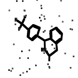 CC1Cc2ccccc2C(c2ccc(C(F)(F)F)cc2)N1